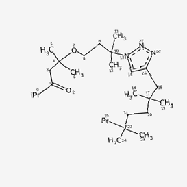 CC(C)C(=O)CC(C)(C)OCCC(C)(C)n1cc(CC(C)(C)CCC(C)(C)C(C)C)nn1